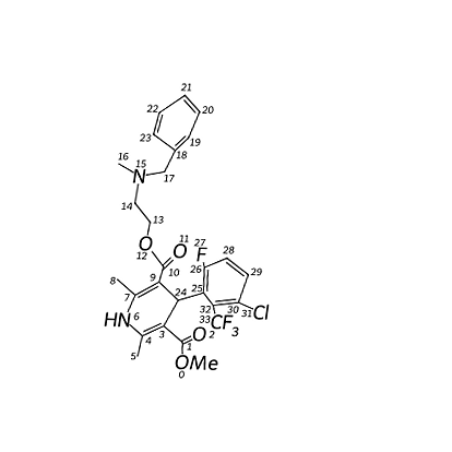 COC(=O)C1=C(C)NC(C)=C(C(=O)OCCN(C)Cc2ccccc2)C1c1c(F)ccc(Cl)c1C(F)(F)F